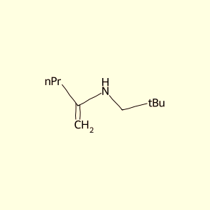 C=C(CCC)NCC(C)(C)C